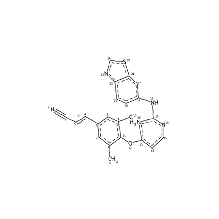 Cc1cc(/C=C/C#N)cc(C)c1Oc1ccnc(Nc2ccc3ncsc3c2)n1